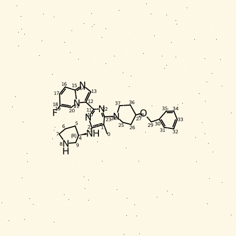 Cc1c(N[C@@H]2CCCNC2)nc(-c2cnc3ccc(F)cn23)nc1N1CCC(OCc2ccccc2)CC1